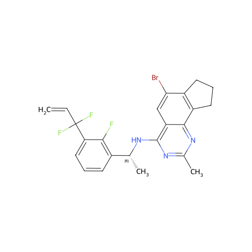 C=CC(F)(F)c1cccc([C@@H](C)Nc2nc(C)nc3c4c(c(Br)cc23)CCC4)c1F